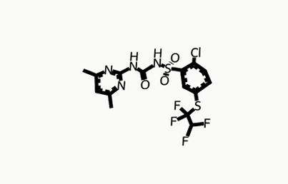 Cc1cc(C)nc(NC(=O)NS(=O)(=O)c2cc(SC(F)(F)C(F)F)ccc2Cl)n1